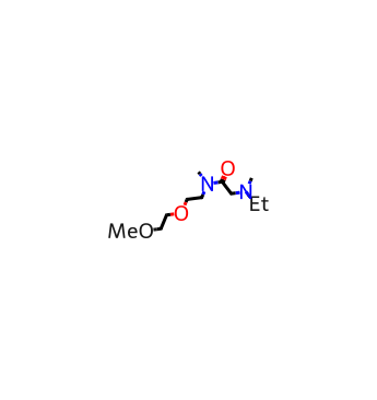 CCN(C)CC(=O)N(C)CCOCCOC